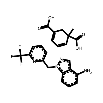 CC1(C(=O)O)C=CC=C(C(=O)O)C1.Nc1cccc2c1cnn2Cc1cccc(C(F)(F)F)n1